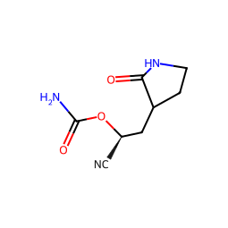 N#C[C@H](CC1CCNC1=O)OC(N)=O